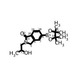 CC(O)CN1Cc2cc(B3OC(C)(C)C(C)(C)O3)ccc2C1=O